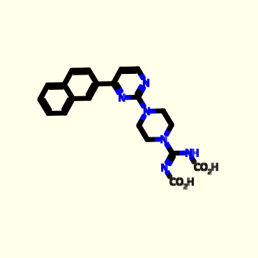 O=C(O)N=C(NC(=O)O)N1CCN(c2nccc(-c3ccc4ccccc4c3)n2)CC1